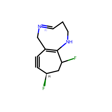 FC1C[C@@H](F)C#CC2=C1NCC/C=N/C2